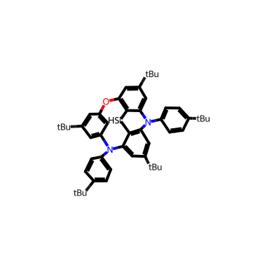 CC(C)(C)c1ccc(N2c3cc(C(C)(C)C)cc4c3[SiH]3c5c(cc(C(C)(C)C)cc5N(c5ccc(C(C)(C)C)cc5)c5cc(C(C)(C)C)cc2c53)O4)cc1